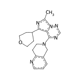 Cc1nc(C2CCOCC2)c2c(N3CCc4ncccc4C3)ncnn12